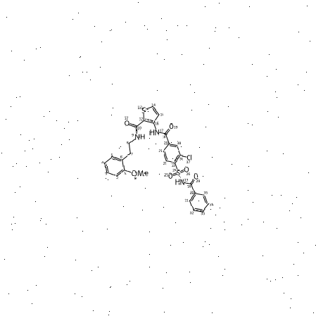 COc1ccccc1CCNC(=O)c1sccc1NC(=O)c1ccc(S(=O)(=O)NC(=O)c2ccccc2)c(Cl)c1